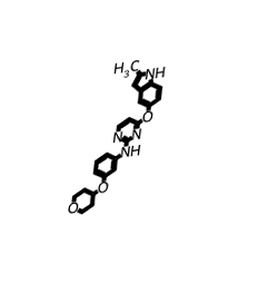 Cc1cc2cc(Oc3ccnc(Nc4cccc(OC5CCOCC5)c4)n3)ccc2[nH]1